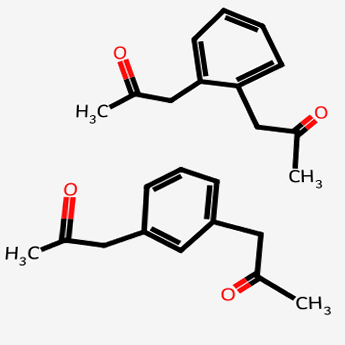 CC(=O)Cc1cccc(CC(C)=O)c1.CC(=O)Cc1ccccc1CC(C)=O